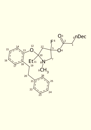 CCCCCCCCCCCC(=O)OC1(F)CN(C)C(CC)(Oc2ccccc2CCc2ccccc2)C1